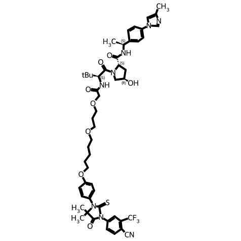 Cc1cn(-c2ccc([C@H](C)NC(=O)[C@@H]3C[C@@H](O)CN3C(=O)[C@@H](NC(=O)COCCCOCCCCCOc3ccc(N4C(=S)N(c5ccc(C#N)c(C(F)(F)F)c5)C(=O)C4(C)C)cc3)C(C)(C)C)cc2)cn1